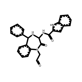 O=CCN1C(=O)C(NC(=O)c2cc3ccccc3[nH]2)NC(c2ccccc2)c2ccccc21